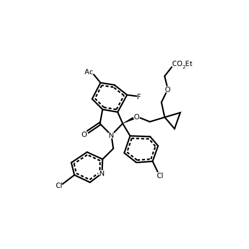 CCOC(=O)COCC1(CO[C@]2(c3ccc(Cl)cc3)c3c(F)cc(C(C)=O)cc3C(=O)N2Cc2ccc(Cl)cn2)CC1